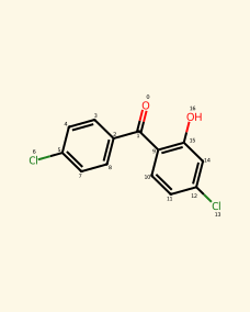 O=C(c1ccc(Cl)cc1)c1ccc(Cl)cc1O